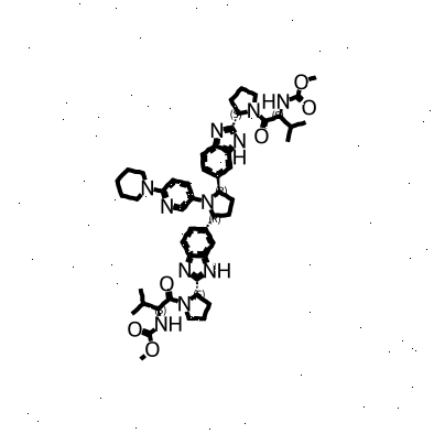 COC(=O)N[C@H](C(=O)N1CCC[C@H]1c1nc2ccc([C@H]3CC[C@H](c4ccc5nc([C@@H]6CCCN6C(=O)[C@@H](NC(=O)OC)C(C)C)[nH]c5c4)N3c3ccc(N4CCCCC4)nc3)cc2[nH]1)C(C)C